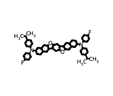 CC(C)c1ccc(N(c2ccc(F)cc2)c2ccc3cc4c(cc3c2)oc2cc3c(cc24)oc2cc4cc(N(c5ccc(F)cc5)c5ccc(C(C)C)cc5)ccc4cc23)cc1